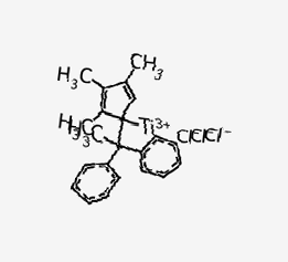 CC1=C[C]([Ti+3])(C(C)(c2ccccc2)c2ccccc2)C(C)=C1C.[Cl-].[Cl-].[Cl-]